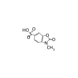 Cn1c(=O)oc2cc(S(=O)(=O)O)ccc21